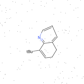 CC(C)(C)C1=CCCc2cccnc21